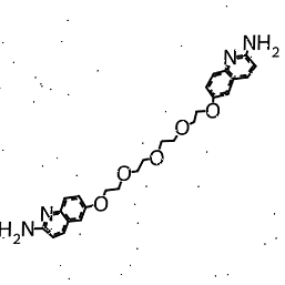 Nc1ccc2cc(OCCOCCOCCOCCOc3ccc4nc(N)ccc4c3)ccc2n1